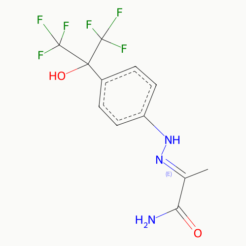 C/C(=N\Nc1ccc(C(O)(C(F)(F)F)C(F)(F)F)cc1)C(N)=O